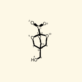 O=P(=O)C12OCC(CO)(CO1)CO2